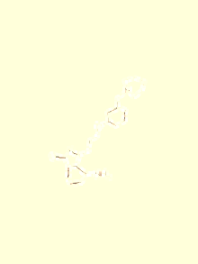 Nc1cccc2c1C(CCCOc1cccc(CN3CCCCC3)c1)=NC2=O